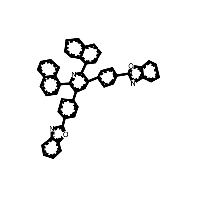 c1ccc2c(-c3nc(-c4cccc5ccccc45)c(-c4ccc(-c5nc6ccccc6o5)cc4)cc3-c3ccc(-c4nc5ccccc5o4)cc3)cccc2c1